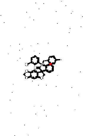 [CH]c1ccc(C[N+]2(c3cccc(Cl)c3)C(=O)C3(COc4cc5c(cc43)OCO5)c3ccccc32)cc1